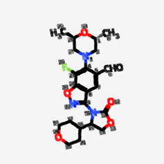 C[C@@H]1CN(c2c(C=O)cc3c(N4C(=O)OCC4C4CCOCC4)noc3c2F)C[C@@H](C)O1